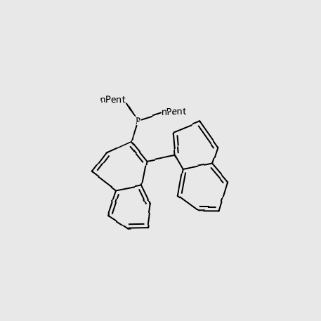 CCCCCP(CCCCC)c1ccc2ccccc2c1-c1cccc2ccccc12